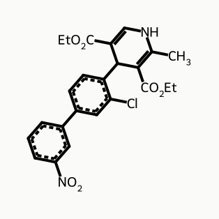 CCOC(=O)C1=CNC(C)=C(C(=O)OCC)C1c1ccc(-c2cccc([N+](=O)[O-])c2)cc1Cl